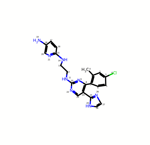 Cc1cc(Cl)ccc1-c1nc(NCCNc2ccc(N)cn2)ncc1-c1ncc[nH]1